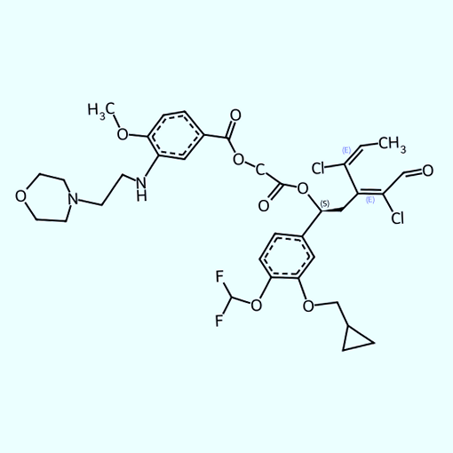 C/C=C(Cl)\C(C[C@H](OC(=O)COC(=O)c1ccc(OC)c(NCCN2CCOCC2)c1)c1ccc(OC(F)F)c(OCC2CC2)c1)=C(\Cl)C=O